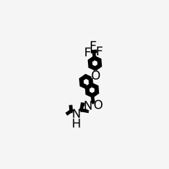 CC(C)NC1CN(C(=O)c2ccc3c(Oc4ccc(C(F)(F)F)cc4)cccc3c2)C1